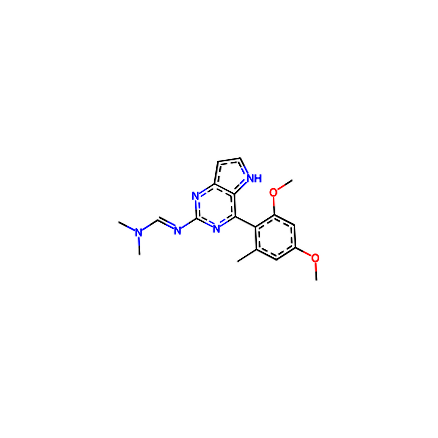 COc1cc(C)c(-c2nc(N=CN(C)C)nc3cc[nH]c23)c(OC)c1